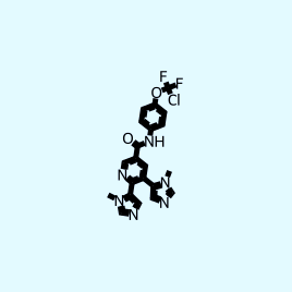 Cn1cncc1-c1cc(C(=O)Nc2ccc(OC(F)(F)Cl)cc2)cnc1-c1cncn1C